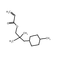 C=CC(=O)OCC(C)(C)CC1CCC(C)CC1